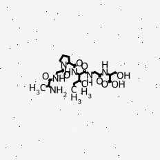 CCC(C)C(NC(=O)C1CCCN1C(=O)CNC(=O)C(C)N)C(=O)NCC(=O)NC(CO)C(=O)O